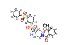 COc1ccccc1C(=O)N1CCC(NS(=O)(=O)c2cccc(S(=O)(=O)c3ccccc3)c2)CC1